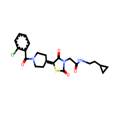 O=C(CN1C(=O)SC(=C2CCN(C(=O)c3ccccc3Cl)CC2)C1=O)NCCC1CC1